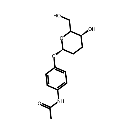 CC(=O)Nc1ccc(O[C@@H]2CC[C@H](O)C(CO)O2)cc1